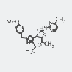 COc1ccc(Cn2cc3c(n2)C(C)OC(C)C2SC(Nc4nccc(C)n4)=NC32)cc1